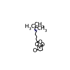 CC(C)(C)/C=C/CCCC(=O)ON1C(=O)CCC1=O